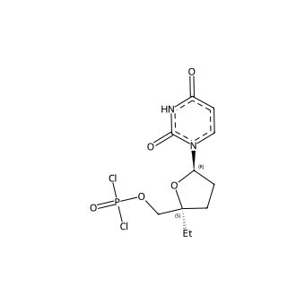 CC[C@@]1(COP(=O)(Cl)Cl)CC[C@H](n2ccc(=O)[nH]c2=O)O1